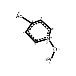 CCCO[n+]1ccc(C(C)=O)cc1